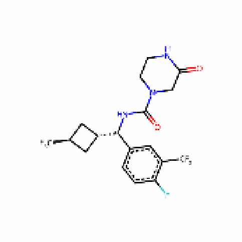 O=C1CN(C(=O)NC(c2ccc(F)c(C(F)(F)F)c2)[C@H]2C[C@H](C(F)(F)F)C2)CCN1